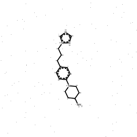 NC1CCN(c2ccc(CCCn3cncn3)cc2)CC1